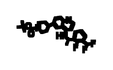 C[C@@H](Nc1ccnc2ccc(C3CCN(C(=O)OC(C)(C)C)CC3)cc12)c1cccc(C(F)F)c1F